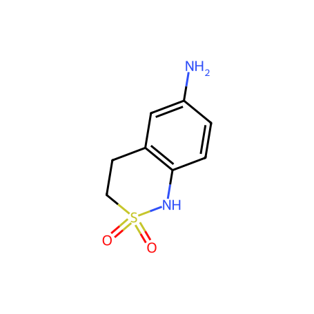 Nc1ccc2c(c1)CCS(=O)(=O)N2